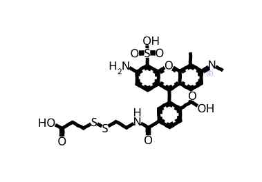 C/N=c1\ccc2c(-c3cc(C(=O)NCCSSCCC(=O)O)ccc3C(=O)O)c3ccc(N)c(S(=O)(=O)O)c3oc-2c1C